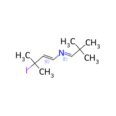 CC(C)(C)/C=N/C=C/C(C)(C)I